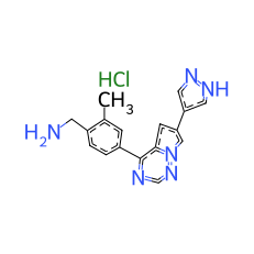 Cc1cc(-c2ncnn3cc(-c4cn[nH]c4)cc23)ccc1CN.Cl